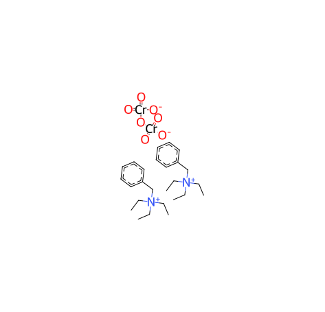 CC[N+](CC)(CC)Cc1ccccc1.CC[N+](CC)(CC)Cc1ccccc1.[O]=[Cr](=[O])([O-])[O][Cr](=[O])(=[O])[O-]